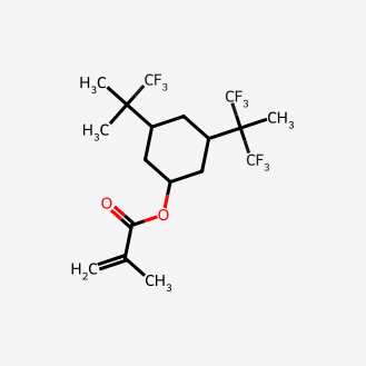 C=C(C)C(=O)OC1CC(C(C)(C)C(F)(F)F)CC(C(C)(C(F)(F)F)C(F)(F)F)C1